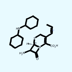 C/C=C\C1=C(C(=O)O)N2C(=O)C(N)[C@H]2SC1.C1CCC(NC2CCCCC2)CC1